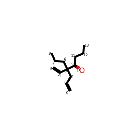 C=CCC(C=C)(CCC)C(=O)CCC